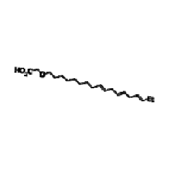 CCC=CCC=CCC=CCCCCCCCCOCC(=O)O